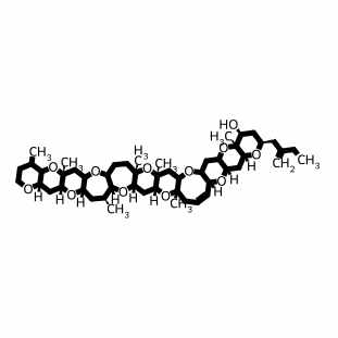 C=C(CC)C[C@@H]1C[C@H](O)[C@]2(C)OC3CC4OC5C[C@]6(C)O[C@]7(C)CCC8OC9C[C@]%10(C)OC%11C(C)CCO[C@H]%11C[C@H]%10O[C@H]9C[C@@H](C)[C@H]8O[C@H]7C[C@H]6O[C@@]5(C)C/C=C\[C@H]4O[C@H]3C[C@H]2O1